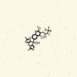 COc1nc2ccc(C(O)(c3cnc(C)n3C)c3cnc(C)n3C)cc2c(Cl)c1CN[C@H](C)C(F)(F)F